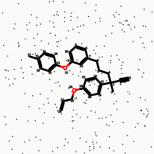 C#CC(C)(CCCc1cccc(Oc2ccc(C)cc2)c1)c1ccc(OCC=C)cc1